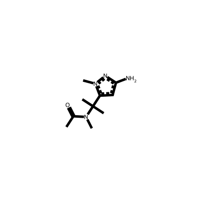 CC(=O)N(C)C(C)(C)c1cc(N)nn1C